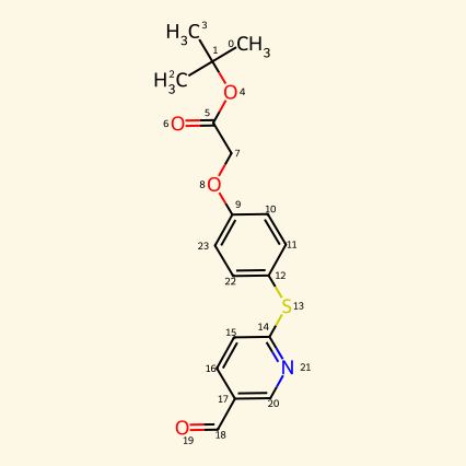 CC(C)(C)OC(=O)COc1ccc(Sc2ccc(C=O)cn2)cc1